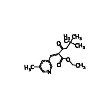 CCOC(=O)/C(=C\c1cncc(C)c1)C(=O)CC(C)(C)C